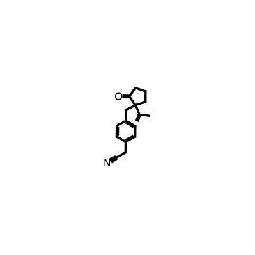 C=C(C)C1(Cc2ccc(CC#N)cc2)CCCC1=O